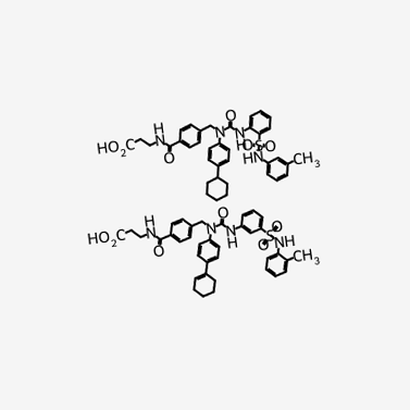 Cc1cccc(NS(=O)(=O)c2ccccc2NC(=O)N(Cc2ccc(C(=O)NCCC(=O)O)cc2)c2ccc(C3CCCCC3)cc2)c1.Cc1ccccc1NS(=O)(=O)c1cccc(NC(=O)N(Cc2ccc(C(=O)NCCC(=O)O)cc2)c2ccc(C3=CCCCC3)cc2)c1